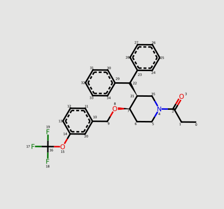 CCC(=O)N1CC[C@@H](OCc2cccc(OC(F)(F)F)c2)[C@@H](C(c2ccccc2)c2ccccc2)C1